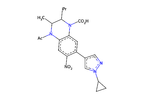 CC(=O)N1c2cc([N+](=O)[O-])c(-c3cnn(C4CC4)c3)cc2N(C(=O)O)C(C(C)C)C1C